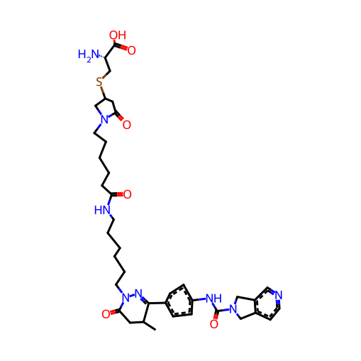 CC1CC(=O)N(CCCCCCNC(=O)CCCCCN2CC(SC[C@H](N)C(=O)O)CC2=O)N=C1c1ccc(NC(=O)N2Cc3ccncc3C2)cc1